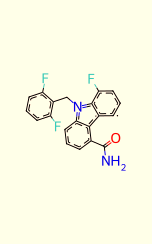 NC(=O)c1cccc2c1c1[c]ccc(F)c1n2Cc1c(F)cccc1F